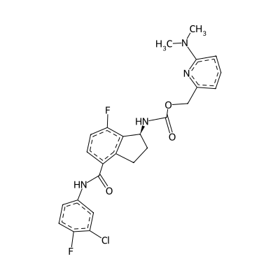 CN(C)c1cccc(COC(=O)N[C@H]2CCc3c(C(=O)Nc4ccc(F)c(Cl)c4)ccc(F)c32)n1